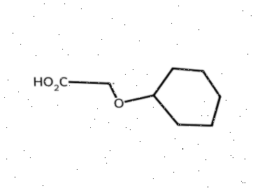 O=C(O)[CH]OC1CCCCC1